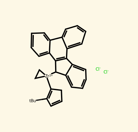 CC(C)(C)C1=[C]([Zr+2]2([CH]3c4ccccc4-c4c3c3ccccc3c3ccccc43)[CH2][CH2]2)CC=C1.[Cl-].[Cl-]